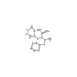 CCC(Cc1ccccc1)C(CC1COCCO1)C(=O)Cl